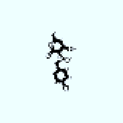 Cc1cc(O)c([S+]([O-])Cc2ccc(Cl)cc2)c(=O)o1